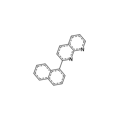 c1cnc2nc(-c3cccc4ccccc34)ccc2c1